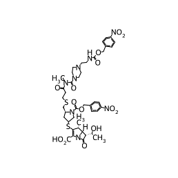 CC(O)[C@@H]1C(=O)N2C(C(=O)O)=C(S[C@H]3C[C@@H](CSCCC(=O)N(C)C(=O)N4CCN(CCNC(=O)OCc5ccc([N+](=O)[O-])cc5)CC4)N(C(=O)OCc4ccc([N+](=O)[O-])cc4)C3)[C@H](C)[C@H]12